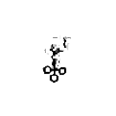 COC(=O)C(Cc1cn(C(c2ccccc2)(c2ccccc2)c2ccccc2)cn1)NC(=O)CN(C)CC(=O)O